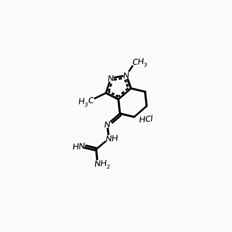 Cc1nn(C)c2c1C(=NNC(=N)N)CCC2.Cl